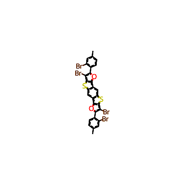 Cc1ccc(-c2oc3c(sc4cc5c(cc43)sc3c(Br)c(-c4ccc(C)cc4Br)oc35)c2Br)c(Br)c1